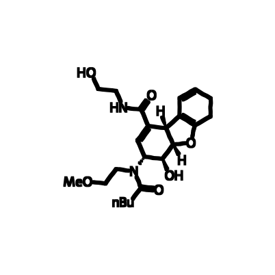 CCCCC(=O)N(CCOC)[C@@H]1C=C(C(=O)NCCO)[C@@H]2C3=C(CCC=C3)O[C@@H]2[C@H]1O